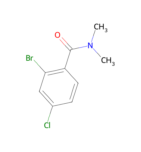 CN(C)C(=O)c1ccc(Cl)cc1Br